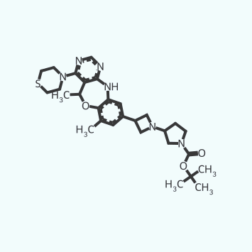 Cc1cc(C2CN(C3CCN(C(=O)OC(C)(C)C)C3)C2)cc2c1OC(C)c1c(ncnc1N1CCSCC1)N2